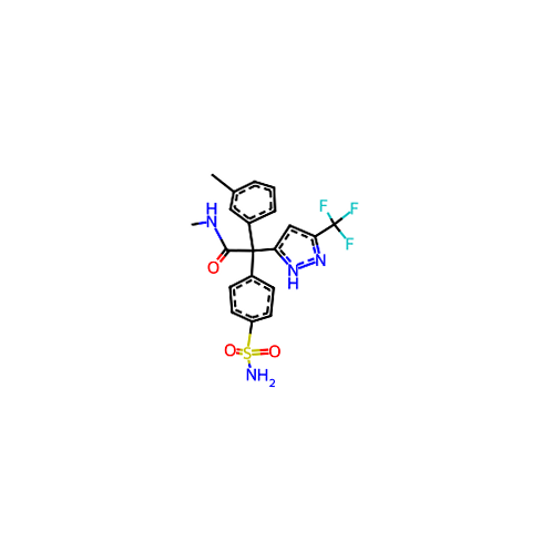 CNC(=O)C(c1ccc(S(N)(=O)=O)cc1)(c1cccc(C)c1)c1cc(C(F)(F)F)n[nH]1